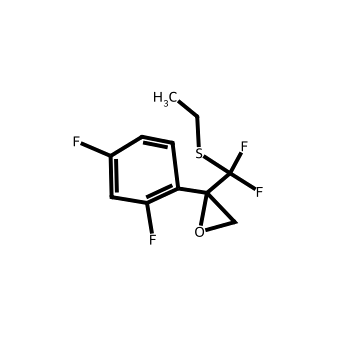 CCSC(F)(F)C1(c2ccc(F)cc2F)CO1